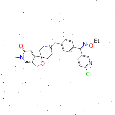 CCO/N=C(/c1ccc(CN2CCC3(CC2)OCc2cn(C)c(=O)cc23)cc1)c1ccc(Cl)nc1